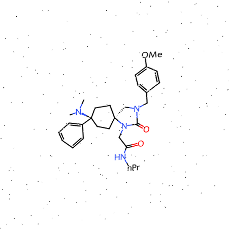 CCCNC(=O)CN1C(=O)N(Cc2ccc(OC)cc2)C[C@]12CC[C@](c1ccccc1)(N(C)C)CC2